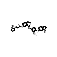 Cc1cc(Nc2ncnc3ccc(NC(=O)/C=C/[C@H]4CCCN4C)cc23)ccc1Oc1ccc2cc[nH]c2c1